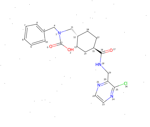 O=C(O)N(Cc1ccccc1)C[C@H]1CC[C@H](C(=O)NCc2nccnc2Cl)CC1